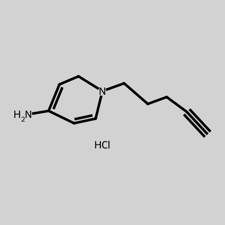 C#CCCCN1C=CC(N)=CC1.Cl